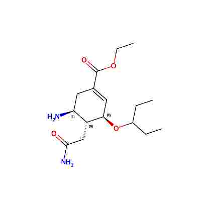 CCOC(=O)C1=C[C@@H](OC(CC)CC)[C@H](CC(N)=O)[C@@H](N)C1